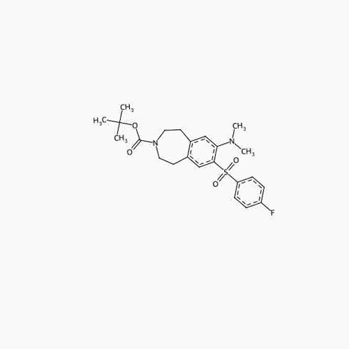 CN(C)c1cc2c(cc1S(=O)(=O)c1ccc(F)cc1)CCN(C(=O)OC(C)(C)C)CC2